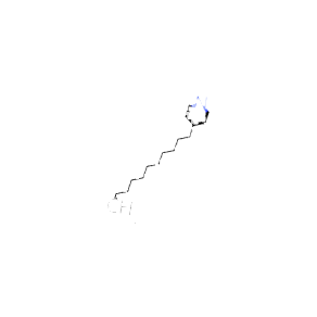 C=CCCCCCCCCCc1ccncc1